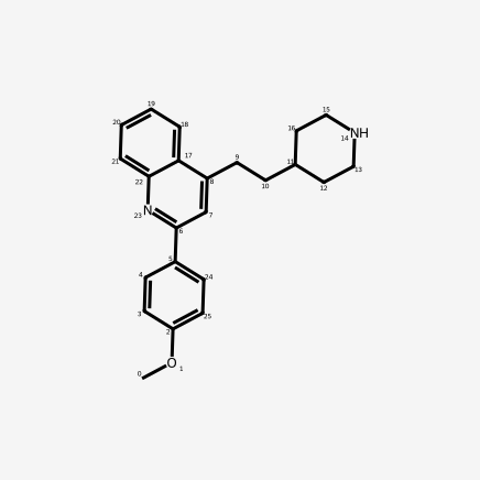 COc1ccc(-c2cc(CCC3CCNCC3)c3ccccc3n2)cc1